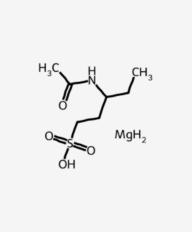 CCC(CCS(=O)(=O)O)NC(C)=O.[MgH2]